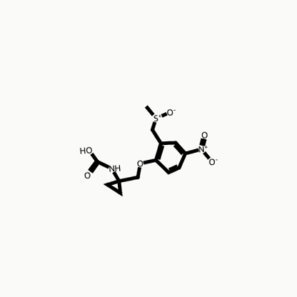 C[S+]([O-])Cc1cc([N+](=O)[O-])ccc1OCC1(NC(=O)O)CC1